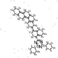 c1ccc(-c2nc(-c3ccccc3)nc(-c3ccc(-c4ccc5c(ccc6ccc7c8ccccc8ccc7c65)c4)c4ccccc34)n2)cc1